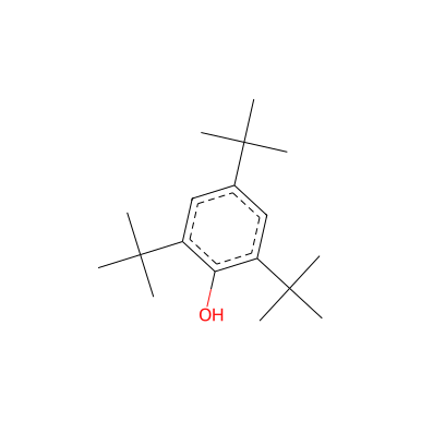 CC(C)(C)c1cc(C(C)(C)C)c(O)c(C(C)(C)C)c1